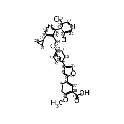 COc1ccc(-c2nc(C34CCC(OCc5c(-c6c(Cl)cncc6Cl)noc5C5CC5)(CC3)CC4)co2)cc1C(=O)O